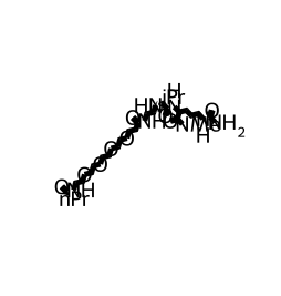 CCCC(=O)NCCOCCOCCOCCOCCC(=O)NCCN[C@H](C(=O)NC(CCCNC(N)=O)C(=O)NC)C(C)C